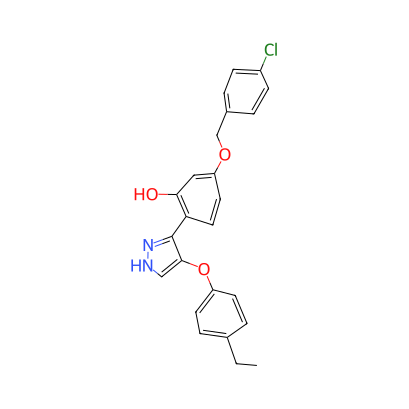 CCc1ccc(Oc2c[nH]nc2-c2ccc(OCc3ccc(Cl)cc3)cc2O)cc1